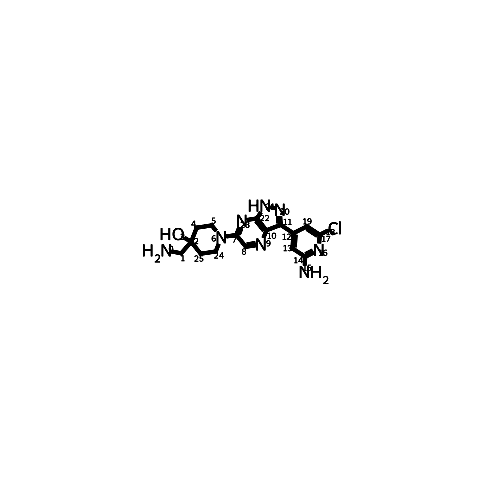 NCC1(O)CCN(c2cnc3c(-c4cc(N)nc(Cl)c4)n[nH]c3n2)CC1